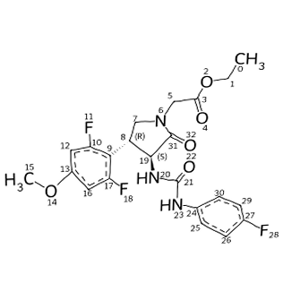 CCOC(=O)CN1C[C@@H](c2c(F)cc(OC)cc2F)[C@H](NC(=O)Nc2ccc(F)cc2)C1=O